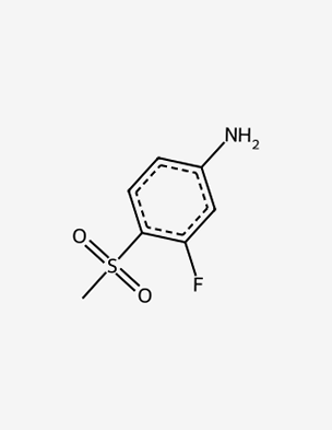 CS(=O)(=O)c1ccc(N)cc1F